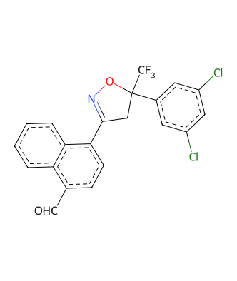 O=Cc1ccc(C2=NOC(c3cc(Cl)cc(Cl)c3)(C(F)(F)F)C2)c2ccccc12